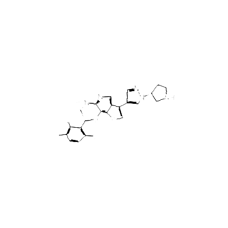 C[C@@H](Oc1c(N)ncc2c(-c3cnn([C@H]4CCNC4)c3)coc12)c1c(Cl)ccc(F)c1Cl